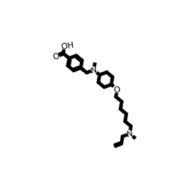 C=CCN(C)CCCCCCOC1CCC(N(C)Cc2ccc(C(=O)O)cc2)CC1